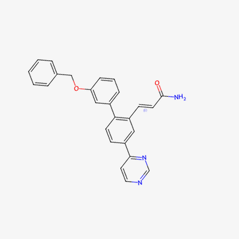 NC(=O)/C=C/c1cc(-c2ccncn2)ccc1-c1cccc(OCc2ccccc2)c1